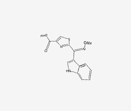 CON=C(c1nc(C(=O)OC)cs1)c1c[nH]c2ccccc12